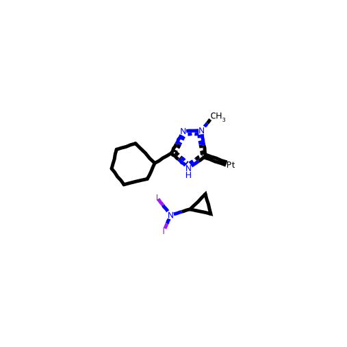 Cn1nc(C2CCCCC2)[nH][c]1=[Pt].IN(I)C1CC1